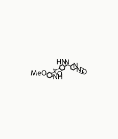 COc1ccc2c(c1)C1(C[C@H]1c1ccc3c(-c4ccc(N5CCOCC5)nc4)n[nH]c3c1)C(=O)N2